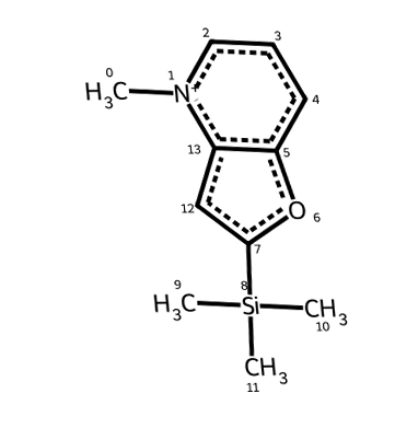 C[n+]1cccc2oc([Si](C)(C)C)cc21